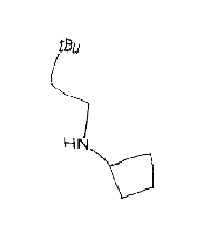 CC(C)(C)CCNC1CCC1